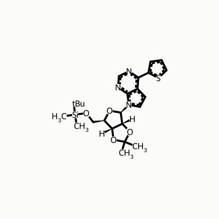 CC1(C)O[C@@H]2[C@H](O1)[C@@H](CO[Si](C)(C)C(C)(C)C)O[C@H]2n1ccc2c(-c3cccs3)ncnc21